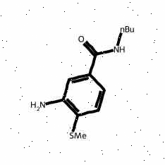 CCCCNC(=O)c1ccc(SC)c(N)c1